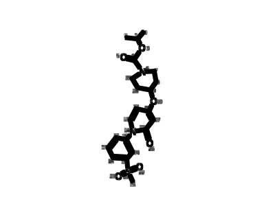 CC(C)OC(=O)N1CCC(Oc2ccn(-c3cccc(S(C)(=O)=O)c3)c(=O)c2)CC1